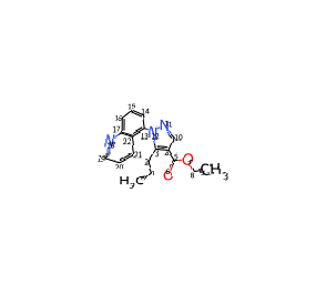 CCCc1c(C(=O)OCC)cnn1-c1cccc2ncccc12